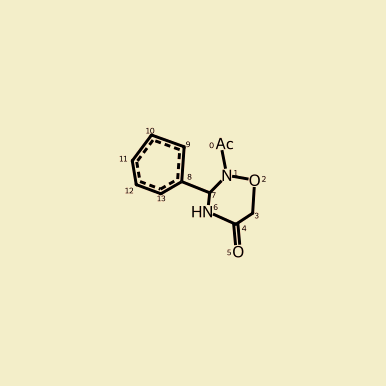 CC(=O)N1OCC(=O)NC1c1ccccc1